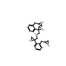 c1ccc(C2(COCC3(c4ccccc4CC4CO4)CO3)CO2)c(CC2CO2)c1